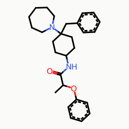 CC(Oc1ccccc1)C(=O)NC1CCC(Cc2ccccc2)(N2CCCCCC2)CC1